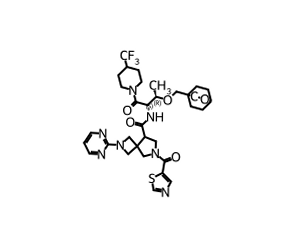 C[C@@H](OCC12CCC(CC1)OC2)[C@H](NC(=O)C1CN(C(=O)c2cncs2)CC12CN(c1ncccn1)C2)C(=O)N1CCC(C(F)(F)F)CC1